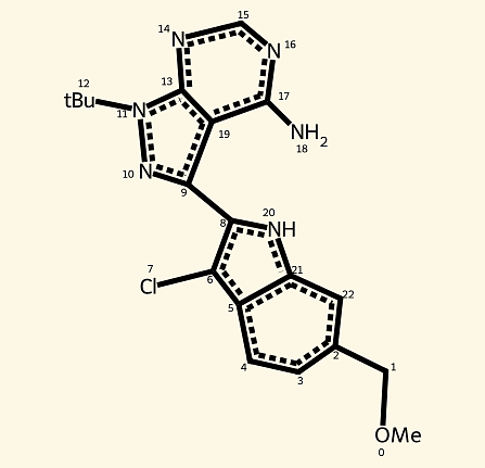 COCc1ccc2c(Cl)c(-c3nn(C(C)(C)C)c4ncnc(N)c34)[nH]c2c1